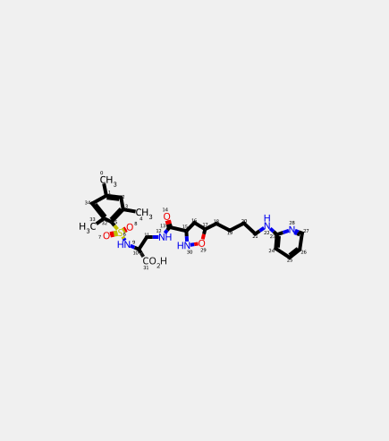 Cc1cc(C)c(S(=O)(=O)NC(CNC(=O)C2CC(CCCCNc3ccccn3)ON2)C(=O)O)c(C)c1